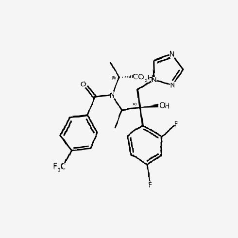 CC(N(C(=O)c1ccc(C(F)(F)F)cc1)[C@H](C)C(=O)O)[C@](O)(Cn1cncn1)c1ccc(F)cc1F